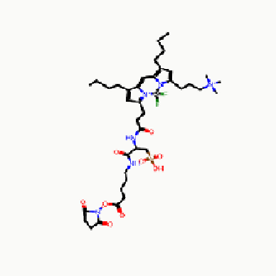 CCCCC1=CC(CCC(=O)NC(CS(=O)(=O)O)C(=O)NCCCCC(=O)ON2C(=O)CCC2=O)=[N+]2C1=Cc1c(CCCC)cc(CCC[N+](C)(C)C)n1[B-]2(F)F